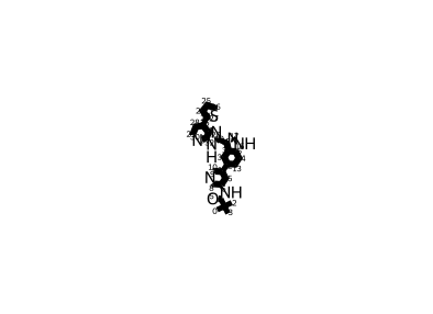 CC(C)(C)C(=O)Nc1cncc(-c2ccc3[nH]nc(-c4nc5c(-c6cccs6)ccnc5[nH]4)c3c2)c1